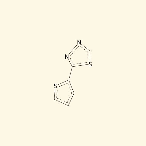 [c]1nnc(-c2cccs2)s1